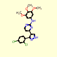 COc1cc(Nc2nccc(-c3c[nH]nc3-c3ccc(Cl)cc3Cl)n2)cc(OC)c1OC